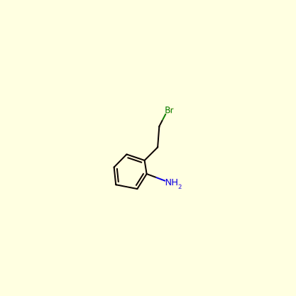 Nc1ccccc1CCBr